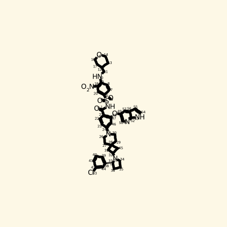 O=C(NS(=O)(=O)c1ccc(NCC2CCOCC2)c([N+](=O)[O-])c1)c1ccc(N2CCC3(CC2)CC(N2CCC[C@H]2c2cccc(Cl)c2)C3)cc1Oc1cnc2[nH]ccc2c1